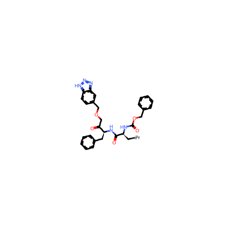 CC(C)C[C@H](NC(=O)OCc1ccccc1)C(=O)N[C@@H](Cc1ccccc1)C(=O)COCc1ccc2[nH]nnc2c1